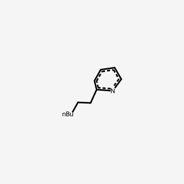 [CH2]CCCCCc1ccccn1